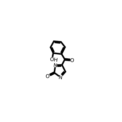 O=C1N=CC(C(=O)c2ccccc2O)=N1